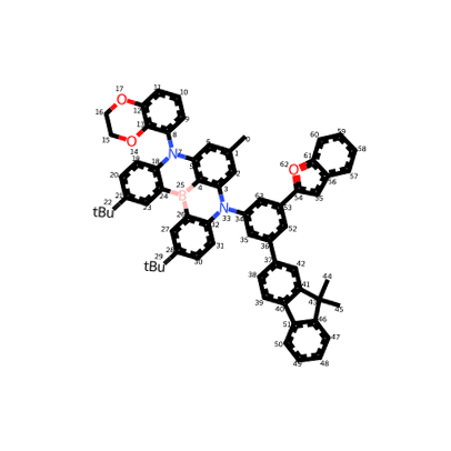 Cc1cc2c3c(c1)N(c1cccc4c1OCCO4)c1ccc(C(C)(C)C)cc1B3c1cc(C(C)(C)C)ccc1N2c1cc(-c2ccc3c(c2)C(C)(C)c2ccccc2-3)cc(-c2cc3ccccc3o2)c1